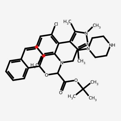 Cc1ccc(Cl)c(-c2c(C)nn(C)c2C)c1N(CCN1CCNCC1)C(Oc1cccc2ccccc12)C(=O)OC(C)(C)C